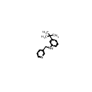 CC(C)(C)c1cccc(NCc2cccnc2)c1